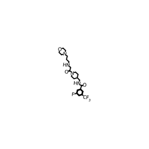 O=C(NCC1CCN(C(=O)CNCCCN2CCOCC2)CC1)c1cc(F)cc(C(F)(F)F)c1